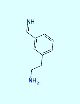 N=Cc1cccc(CCN)c1